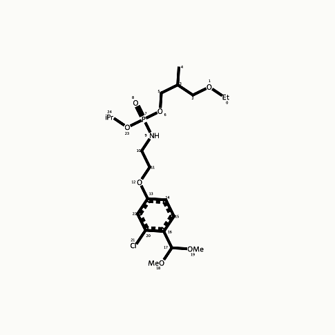 CCOCC(C)COP(=O)(NCCOc1ccc(C(OC)OC)c(Cl)c1)OC(C)C